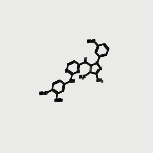 COc1cccc(-n2nc(C)c(C)c2Nc2ccnc(Nc3ccc(OC)c(OC)c3)n2)c1